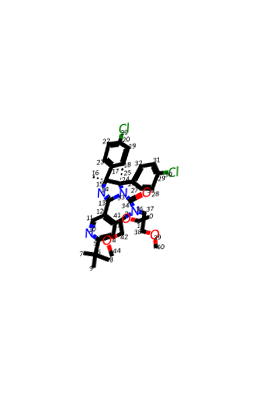 CCOc1cc(C(C)(C)C)ncc1C1=N[C@@](C)(c2ccc(Cl)cc2)[C@@](C)(c2ccc(Cl)cc2)N1C(=O)N(CCOC)CCOC